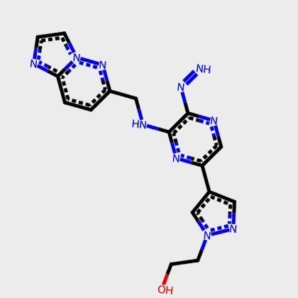 N=Nc1ncc(-c2cnn(CCO)c2)nc1NCc1ccc2nccn2n1